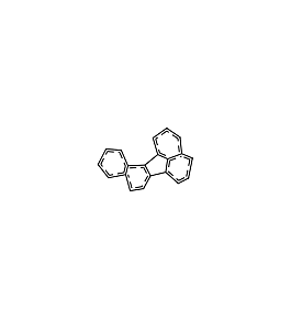 c1ccc2c3c(ccc2c1)-c1cccc2cccc-3c12